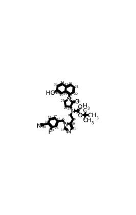 CC(C)(C)OC(=O)N(CCc1cncn1Cc1ccc(C#N)c(F)c1)C1CCN(c2cccc3ccc(O)cc23)C1=O